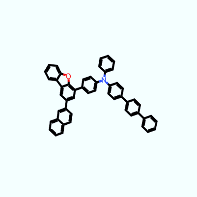 c1ccc(-c2ccc(-c3ccc(N(c4ccccc4)c4ccc(-c5cc(-c6ccc7ccccc7c6)cc6c5oc5ccccc56)cc4)cc3)cc2)cc1